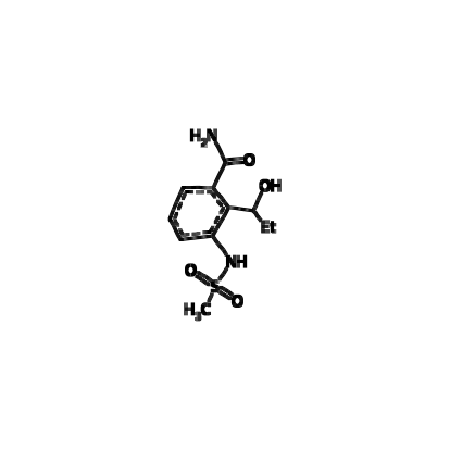 CCC(O)c1c(NS(C)(=O)=O)cccc1C(N)=O